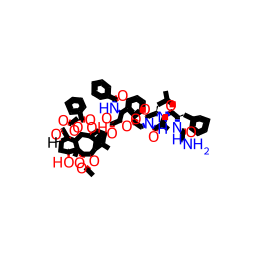 C=C(C)C(=O)N(CC(=O)O[C@@H](C(=O)O[C@H]1C[C@@]2(O)[C@@H](OC(=O)c3ccccc3)C3C4(OC(C)=O)CO[C@@H]4C[C@H](O)C3(C)C(=O)[C@H](OC(C)=O)C(=C1C)C2(C)C)[C@@H](NC(=O)c1ccccc1)c1ccccc1)C(=O)[C@H](CC(C)C)NC(=O)[C@H](Cc1ccccc1)NC(=O)CN